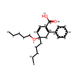 CCCCCOC1(CCCCC)C=CC(C(=O)O)=C(c2ccccc2)C1